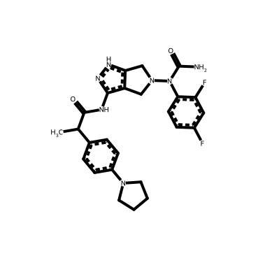 CC(C(=O)Nc1n[nH]c2c1CN(N(C(N)=O)c1ccc(F)cc1F)C2)c1ccc(N2CCCC2)cc1